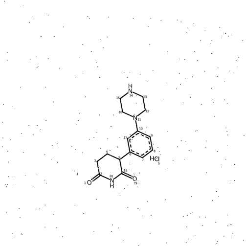 Cl.O=C1CCC(c2cccc(N3CCNCC3)c2)C(=O)N1